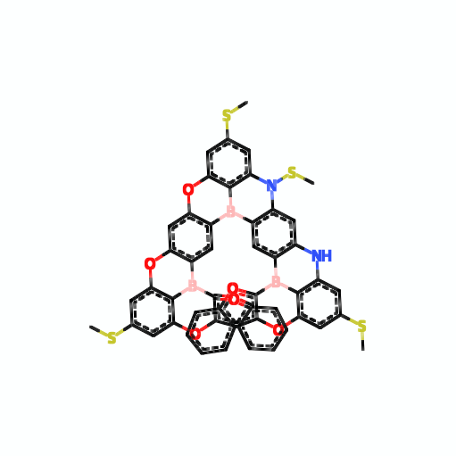 CSc1cc2c3c(c1)Oc1c(oc4ccccc14)B3c1cc3c(cc1N2)N(SC)c1cc(SC)cc2c1B3c1cc3c(cc1O2)Oc1cc(SC)cc2c1B3c1oc3ccccc3c1O2